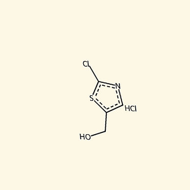 Cl.OCc1cnc(Cl)s1